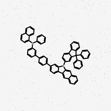 c1ccc(N(c2cccc(-c3ccc(-c4ccc5c6cc7ccccc7cc6n(-c6ccc7c(c6)C(c6ccccc6)(c6ccccc6)c6ccccc6-7)c5c4)cc3)c2)c2cccc3ccccc23)cc1